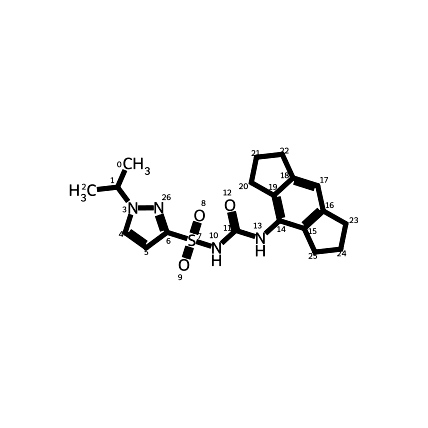 CC(C)n1ccc(S(=O)(=O)NC(=O)Nc2c3c(cc4c2CCC4)CCC3)n1